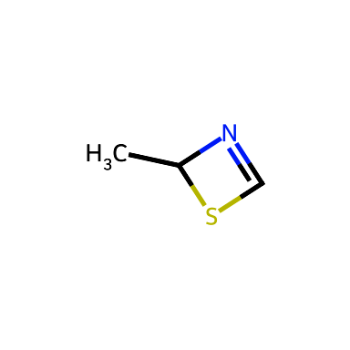 CC1N=CS1